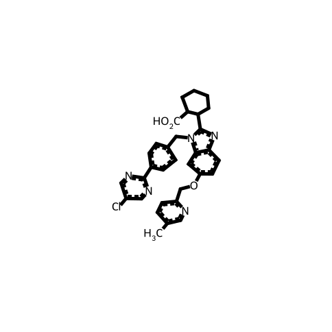 Cc1ccc(COc2ccc3nc(C4CCCCC4C(=O)O)n(Cc4ccc(-c5ncc(Cl)cn5)cc4)c3c2)nc1